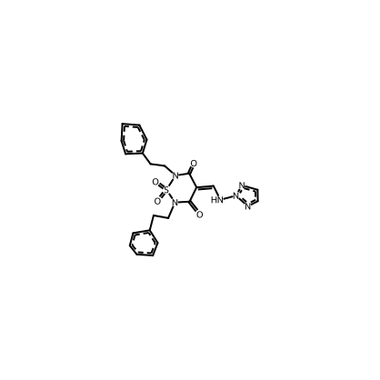 O=C1C(=CNn2nccn2)C(=O)N(CCc2ccccc2)S(=O)(=O)N1CCc1ccccc1